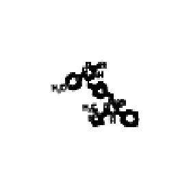 CCC(=O)N[C@H](Cc1ccc(CNC(=O)[C@@H](NC(=O)c2ccnn2C)C2CCCCCC2)cc1)C(=O)N1CCN(C)CC1